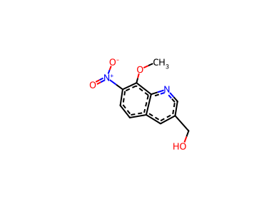 COc1c([N+](=O)[O-])ccc2cc(CO)cnc12